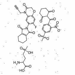 C#CCN1C(=O)COc2cc(F)c(N3C(=O)C4=C(CCCC4)C3=O)cc21.CP(=O)(O)CCC(N)C(=O)O.CS(=O)(=O)c1ccc(C(=O)C2C(=O)CCCC2=O)c([N+](=O)[O-])c1